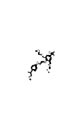 COCOCc1cc(C(F)(F)F)cc(COCOC)c1OCCOc1ccc(C(C)CSC)cc1